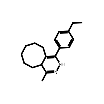 CCc1ccc(C2=C3CCCCCCC3C(C)=NN2)cc1